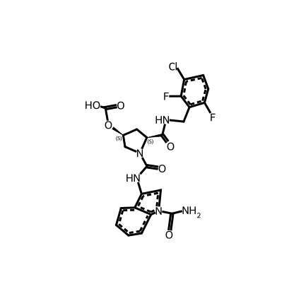 NC(=O)n1cc(NC(=O)N2C[C@@H](OC(=O)O)C[C@H]2C(=O)NCc2c(F)ccc(Cl)c2F)c2ccccc21